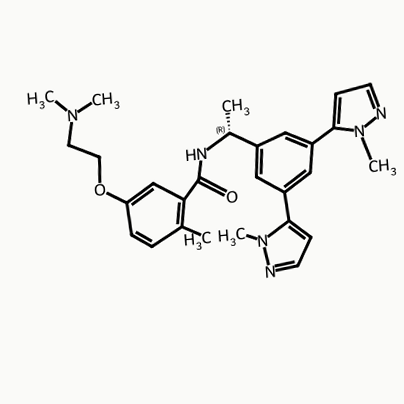 Cc1ccc(OCCN(C)C)cc1C(=O)N[C@H](C)c1cc(-c2ccnn2C)cc(-c2ccnn2C)c1